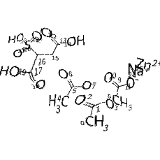 CC(=O)[O-].CC(=O)[O-].CC(=O)[O-].O=C(O)CC(C(=O)O)S(=O)(=O)O.[Na+].[Zn+2]